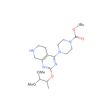 COC(OC)C(C)Oc1nc2c(c(N3CCN(C(=O)OC(C)(C)C)CC3)n1)CCNC2